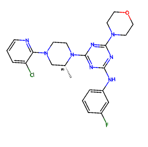 C[C@@H]1CN(c2ncccc2Cl)CCN1c1nc(Nc2cccc(F)c2)nc(N2CCOCC2)n1